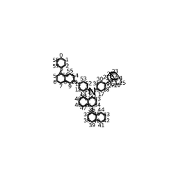 c1ccc(-c2cccc3cc(-c4ccc(N(c5ccc(C67CC8CC9CC(C6)C97C8)cc5)c5ccc(-c6cccc7ccccc67)c6ccccc56)cc4)ccc23)cc1